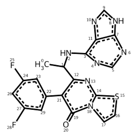 CC(Nc1ncnc2[nH]cnc12)c1nc2sccn2c(=O)c1-c1cc(F)cc(F)c1